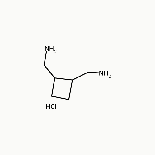 Cl.NCC1CCC1CN